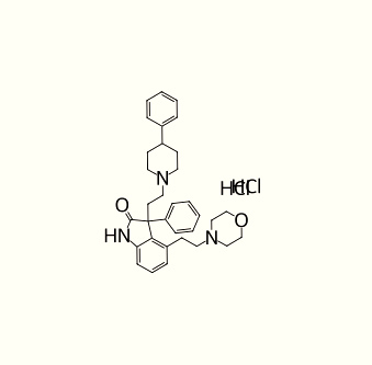 Cl.Cl.O=C1Nc2cccc(CCN3CCOCC3)c2C1(CCN1CCC(c2ccccc2)CC1)c1ccccc1